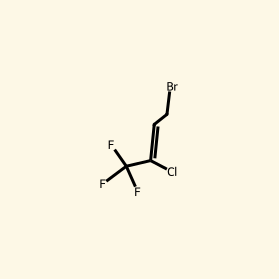 FC(F)(F)C(Cl)=CCBr